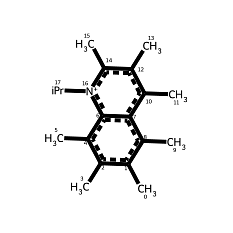 Cc1c(C)c(C)c2c(c1C)c(C)c(C)c(C)[n+]2C(C)C